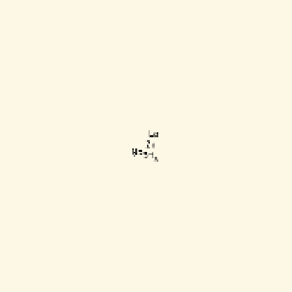 B.[La].[Nb].[Zn]